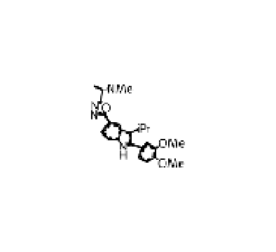 CN[C@@H](C)c1nnc(-c2ccc3[nH]c(-c4ccc(OC)c(OC)c4)c(C(C)C)c3c2)o1